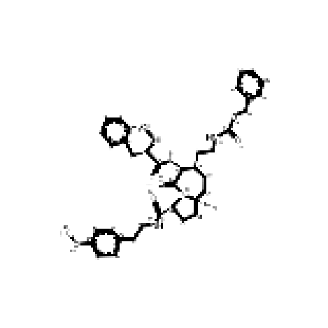 CN[C@H](Cc1ccccc1)C(=O)N[C@@H]1C(=O)N2[C@@H](CC[C@@H]1CCNC(=O)NCc1ccccc1)CC[C@H]2C(=O)NCCc1ccc(OC)cc1